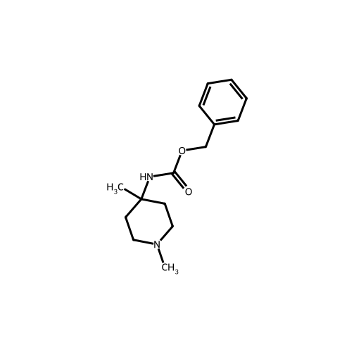 CN1CCC(C)(NC(=O)OCc2ccccc2)CC1